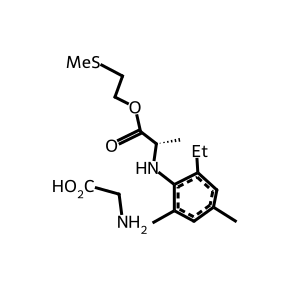 CCc1cc(C)cc(C)c1N[C@@H](C)C(=O)OCCSC.NCC(=O)O